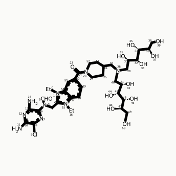 CCn1c(CN(C=O)c2nc(Cl)c(N)nc2N)[n+](CC)c2ccc(C(=O)N3CCC(CN(C[C@H](O)[C@@H](O)[C@H](O)[C@H](O)CO)C[C@H](O)[C@@H](O)[C@H](O)[C@H](O)CO)CC3)cc21